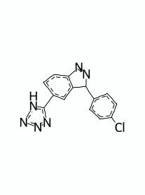 Clc1ccc(C2N=Nc3ccc(-c4nnn[nH]4)cc32)cc1